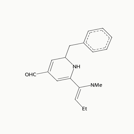 CC/C=C(\NC)C1=CC(C=O)=CC(Cc2ccccc2)N1